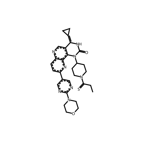 CCC(=S)N1CCC(N2C(=O)NC(=C3CC3)c3cnc4ccc(-c5cnc(N6CCOCC6)nc5)nc4c32)CC1